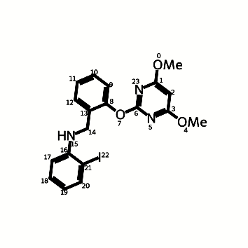 COc1cc(OC)nc(Oc2ccccc2CNc2ccccc2I)n1